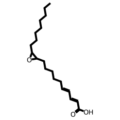 CCCCCCCCC1OC1CCCCCC=CC=CC(=O)O